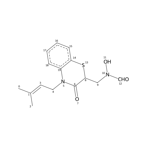 CC(C)=CCN1C(=O)C(CN(O)C=O)Sc2ccccc21